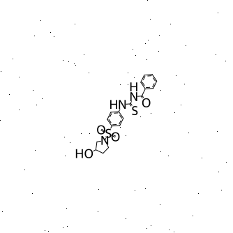 O=C(NC(=S)Nc1ccc(S(=O)(=O)N2CCC(O)C2)cc1)c1ccccc1